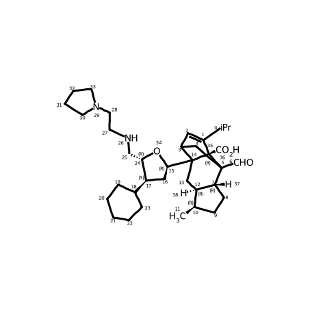 CC(C)C1=CC2CC3(C=O)[C@@H]4CC[C@@H](C)[C@H]4CC2([C@H]2C[C@@H](C4CCCCC4)[C@H](CNCCN4CCCC4)O2)[C@]13C(=O)O